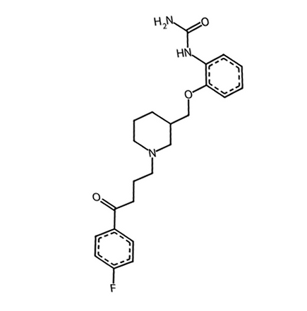 NC(=O)Nc1ccccc1OCC1CCCN(CCCC(=O)c2ccc(F)cc2)C1